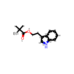 CCC(C)(C)C(=O)OCCc1c[nH]c2ccccc12